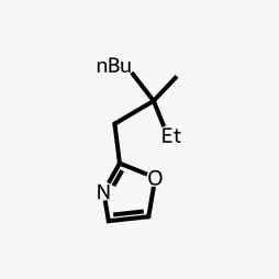 CCCCC(C)(CC)Cc1ncco1